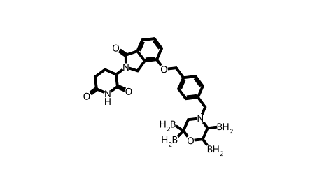 BC1OC(B)(B)CN(Cc2ccc(COc3cccc4c3CN(C3CCC(=O)NC3=O)C4=O)cc2)C1B